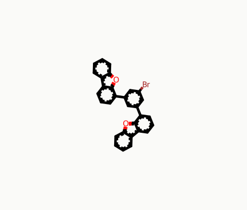 Brc1cc(-c2cccc3c2oc2ccccc23)cc(-c2cccc3c2oc2ccccc23)c1